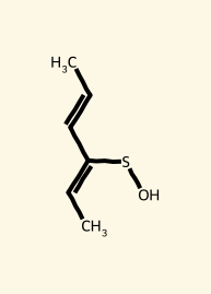 CC=CC(=CC)SO